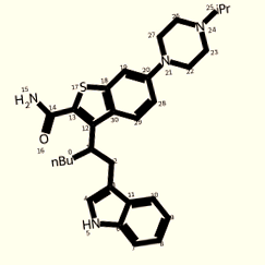 CCCCC(Cc1c[nH]c2ccccc12)c1c(C(N)=O)sc2cc(N3CCN(C(C)C)CC3)ccc12